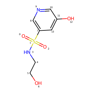 O=S(=O)(NCCO)c1cncc(O)c1